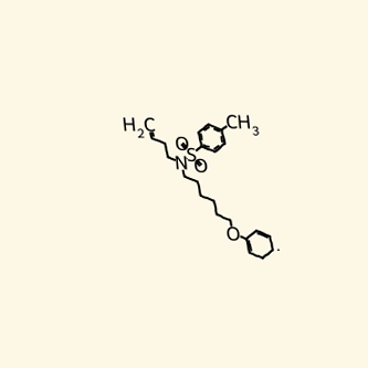 C=CCCN(CCCCCCOC1=CC[CH]C=C1)S(=O)(=O)c1ccc(C)cc1